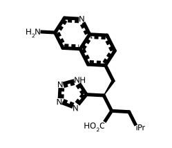 CC(C)CC(C(=O)O)[C@H](Cc1ccc2ncc(N)cc2c1)c1nnn[nH]1